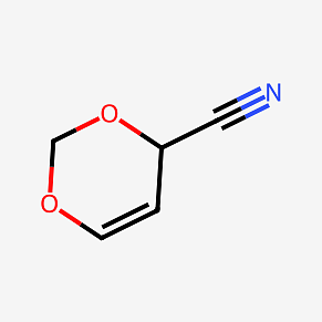 N#CC1C=COCO1